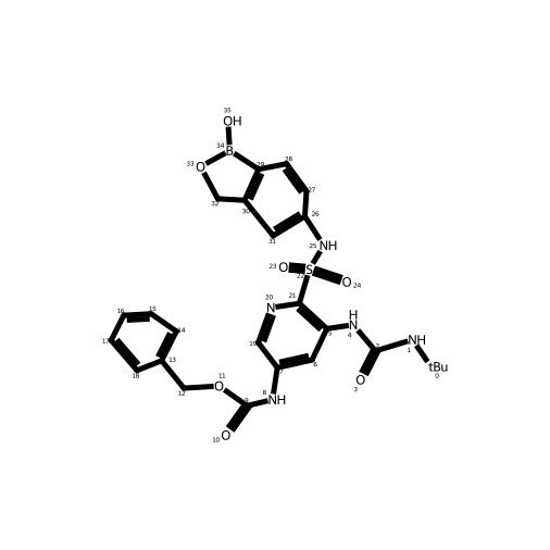 CC(C)(C)NC(=O)Nc1cc(NC(=O)OCc2ccccc2)cnc1S(=O)(=O)Nc1ccc2c(c1)COB2O